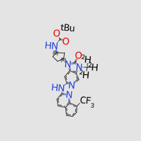 [2H]C([2H])([2H])n1c(=O)n([C@@H]2CC[C@@H](NC(=O)OC(C)(C)C)C2)c2cc(Nc3ccc4cccc(C(F)(F)F)c4n3)ncc21